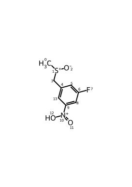 C[S+]([O-])Cc1cc(F)cc([N+](=O)O)c1